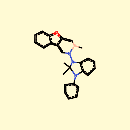 CB1C=c2oc3ccccc3c2=CN1N1c2ccccc2N(c2ccccc2)C1(C)C